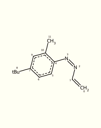 C=C/N=N\c1ccc(C(C)(C)C)cc1C